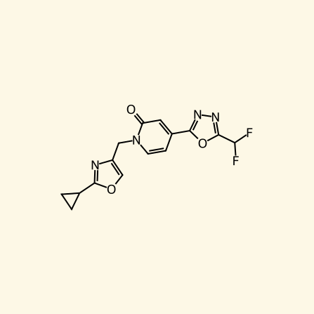 O=c1cc(-c2nnc(C(F)F)o2)ccn1Cc1coc(C2CC2)n1